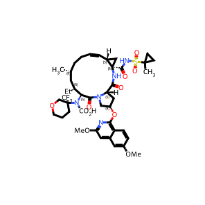 CC[C@@H]1C[C@H](C)CCC=C[C@@H]2C[C@@]2(C(=O)NS(=O)(=O)C2(C)CC2)NC(=O)[C@@H]2C[C@@H](Oc3nc(OC)cc4cc(OC)ccc34)CN2C(=O)[C@H]1N(C(=O)O)C1(C(F)(F)F)CCCOC1